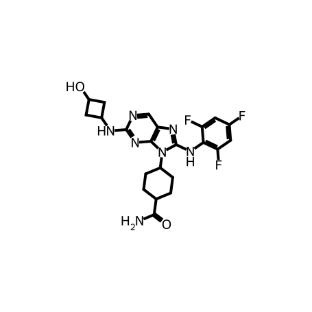 NC(=O)C1CCC(n2c(Nc3c(F)cc(F)cc3F)nc3cnc(NC4CC(O)C4)nc32)CC1